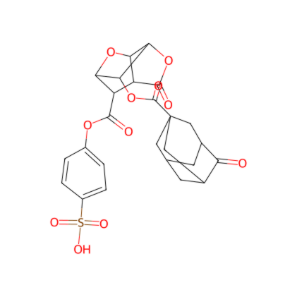 O=C1C2CC3CC1CC(C(=O)OC1C4OC(=O)C5C4OC1C5C(=O)Oc1ccc(S(=O)(=O)O)cc1)(C3)C2